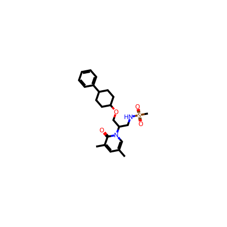 Cc1cc(C)c(=O)n(C(CNS(C)(=O)=O)COC2CCC(c3ccccc3)CC2)c1